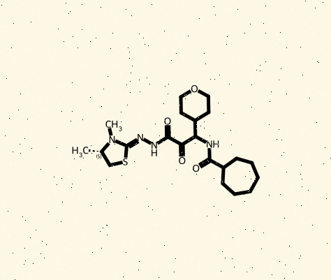 C[C@H]1CSC(=NNC(=O)C(=O)C(NC(=O)C2CCCCCC2)C2CCOCC2)N1C